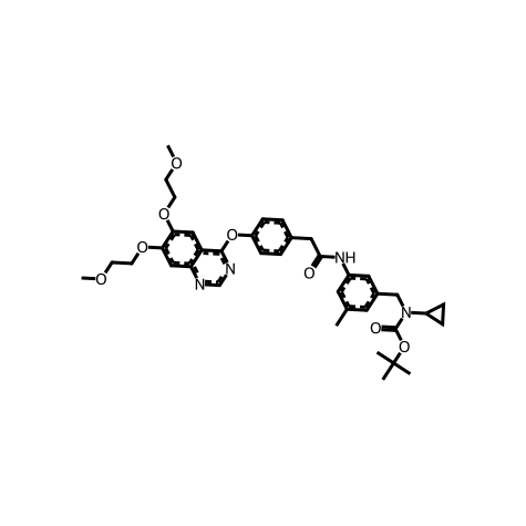 COCCOc1cc2ncnc(Oc3ccc(CC(=O)Nc4cc(C)cc(CN(C(=O)OC(C)(C)C)C5CC5)c4)cc3)c2cc1OCCOC